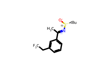 C/C(=N\[S@+]([O-])C(C)(C)C)c1cccc(CC(F)(F)F)c1